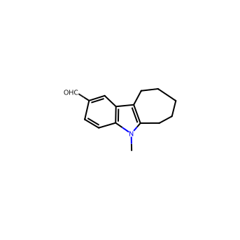 Cn1c2c(c3cc(C=O)ccc31)CCCCC2